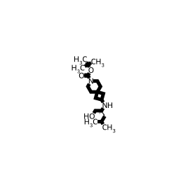 CC(C)C[C@H](CO)NC1CC2(CCN(C(=O)OC(C)(C)C)CC2)C1